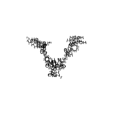 CC/C=C\C(=O)/C=C1/CC[C@@H]2[C@@H](C1)[C@@H](O)C[C@@]1(C)[C@H]2C[C@H]2OC(CCC)O[C@]21C(=O)COC(=O)OCc1ccc(NC(=O)[C@H](CCCNC(N)=O)NC(=O)[C@@H](NC(=O)[C@H](N)CCCCNC(=O)COC2CCCCCc3c2nnn3[C@@H]2O[C@H](CO)[C@H](O)[C@H](O)[C@H]2O)C(C)C)cc1